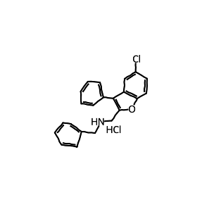 Cl.Clc1ccc2oc(CNCc3ccccc3)c(-c3ccccc3)c2c1